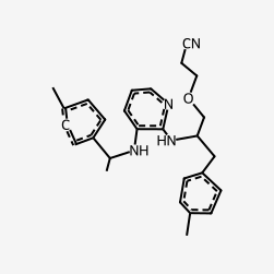 Cc1ccc(CC(COCCC#N)Nc2ncccc2NC(C)c2ccc(C)cc2)cc1